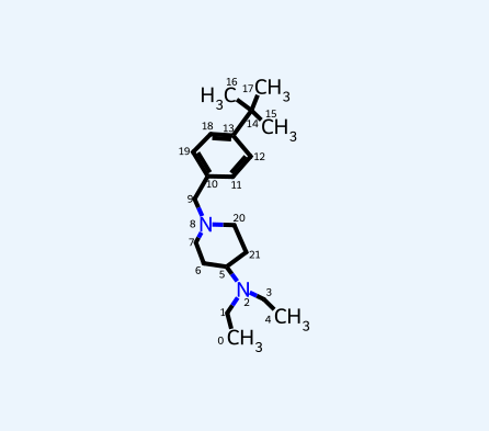 CCN(CC)C1CCN(Cc2ccc(C(C)(C)C)cc2)CC1